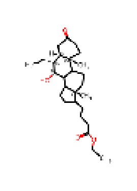 CCOC(=O)CCCC1CCC2C3C(CC[C@]12C)[C@@]1(C)CCC(=O)C[C@H]1[C@@H](CC)[C@@H]3O